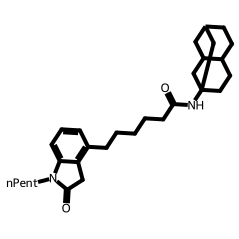 CCCCCN1C(=O)Cc2c(CCCCCC(=O)NC34CCC5CCC(CC5C3)C4)cccc21